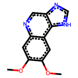 COc1cc2ncc3nc[nH]c3c2cc1OC